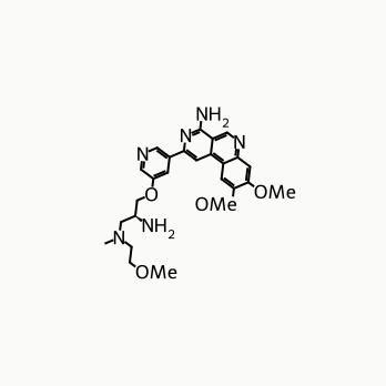 COCCN(C)C[C@H](N)COc1cncc(-c2cc3c(cnc4cc(OC)c(OC)cc43)c(N)n2)c1